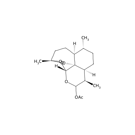 CC(=O)OC1O[C@@H]2O[C@@]3(C)CC[C@H]4[C@H](C)CC[C@@H]([C@H]1C)[C@@]24OO3